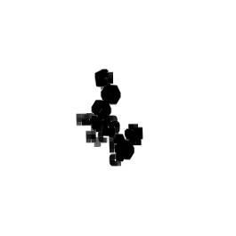 C[C@H](NC(=O)[C@H]1C[C@@H](c2cccc(-n3cccn3)c2)CCN1C(=O)O)C(=O)NCc1cc(Cl)ccc1-n1cnnn1